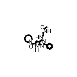 CC(=O)NCCNc1nc(-c2ccccc2)nc2[nH]c(C(=O)N3CCCCCCC3)cc12